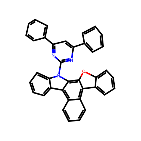 c1ccc(-c2cc(-c3ccccc3)nc(-n3c4ccccc4c4c5ccccc5c5c6ccccc6oc5c43)n2)cc1